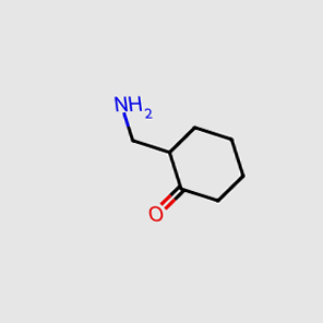 NCC1CCCCC1=O